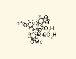 CCCOc1ccc2c(c1)[C@@H](c1ccc(OC)cc1OCC(=O)O)[C@H](OC(=O)O)[C@H]2c1ccc2c(c1)OCO2